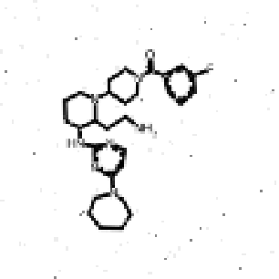 NCCC1C(Nc2nccc(N3CCCCCC3)n2)CCCN1C1CCN(C(=O)c2cccc(F)c2)CC1